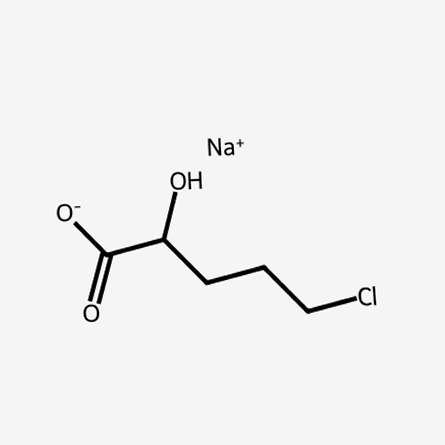 O=C([O-])C(O)CCCCl.[Na+]